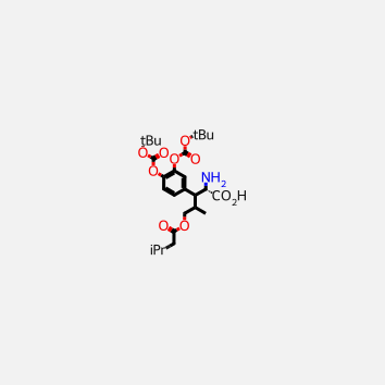 CC(C)CC(=O)OCC(C)C(c1ccc(OC(=O)OC(C)(C)C)c(OC(=O)OC(C)(C)C)c1)[C@H](N)C(=O)O